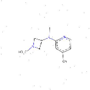 CN(c1cc(C#N)ccn1)C1CN(C(=O)O)C1